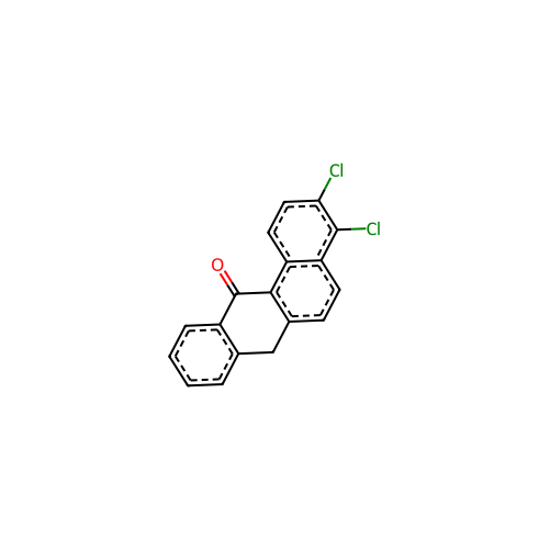 O=C1c2ccccc2Cc2ccc3c(Cl)c(Cl)ccc3c21